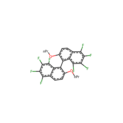 CCCOc1ccc2c(F)c(F)c(F)c(F)c2c1-c1c(OCCC)ccc2c(F)c(F)c(F)c(F)c12